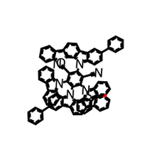 N#Cc1c(-n2c3ccccc3c3ccccc32)c(-n2c3ccc(-c4ccccc4)cc3c3ccc4c5ccccc5sc4c32)c(-n2c3ccccc3c3ccccc32)c(C#N)c1-n1c2ccc(-c3ccccc3)cc2c2ccc3c4ccccc4oc3c21